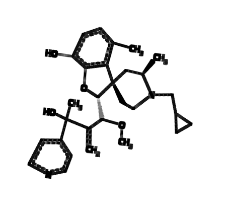 C=C(C(OC)[C@@H]1Oc2c(O)ccc(C)c2[C@@]12CCN(CC1CC1)[C@H](C)C2)C(C)(O)c1ccncc1